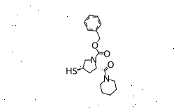 O=C([C@@H]1C[C@@H](S)CN1C(=O)OCc1ccccc1)N1CCCCC1